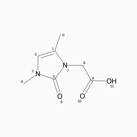 Cc1cn(C)c(=O)n1CC(=O)O